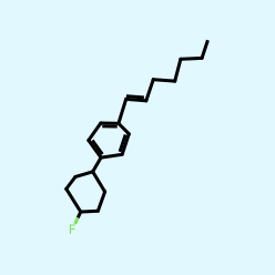 CCCCCC=Cc1ccc(C2CCC(F)CC2)cc1